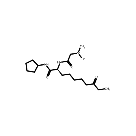 CCC(=O)CCCCC[C@H](NC(=O)C[S+](C)[O-])C(=O)NC1CCCC1